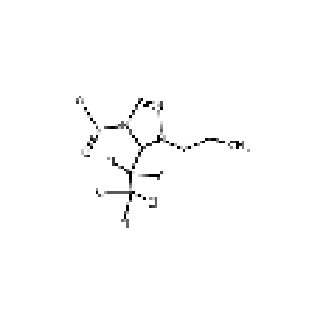 CCCN1N=CN([N+](=O)[O-])C1C(Cl)(Cl)C(Cl)(Cl)Cl